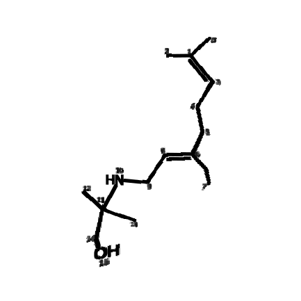 CC(C)=CCCC(C)=CCNC(C)(C)CO